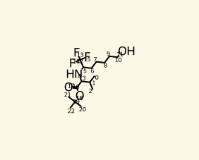 CC(C)C(NC(CCCCCO)C(F)(F)F)C(=O)OC(C)(C)C